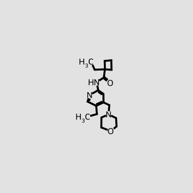 CCc1cnc(NC(=O)C2(CC)CCC2)cc1CN1CCOCC1